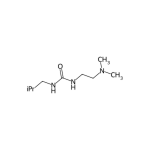 CC(C)CNC(=O)NCCN(C)C